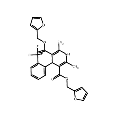 CC1=C(C(=O)OCc2ccco2)C(c2ccccc2C(F)(F)F)C(C(=O)OCc2ccco2)=C(C)N1